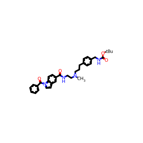 CN(CCCc1ccc(CNC(=O)OC(C)(C)C)cc1)CCNC(=O)c1ccc2c(ccn2C(=O)c2ccccc2)c1